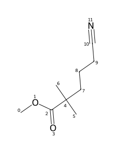 COC(=O)C(C)(C)CCCC#N